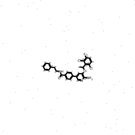 CC(Oc1cc(-c2ccc(C(=O)NCCc3ccccc3)cc2)cnc1N)c1c(Cl)ccc(F)c1Cl